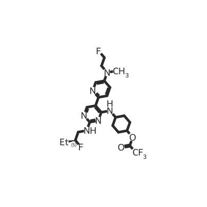 CC[C@H](F)CNc1ncc(-c2ccc(N(C)CCF)cn2)c(NC2CCC(OC(=O)C(F)(F)F)CC2)n1